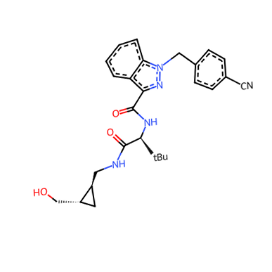 CC(C)(C)[C@H](NC(=O)c1nn(Cc2ccc(C#N)cc2)c2ccccc12)C(=O)NC[C@H]1C[C@@H]1CO